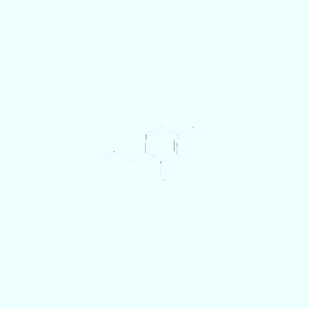 O=CCc1ccc(CCl)c(Cl)c1O